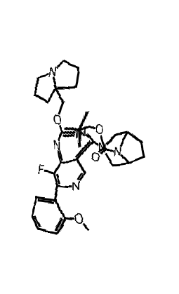 COc1ccccc1-c1ncc2c(N3CC4CCC(C3)N4C(=O)OC(C)(C)C)nc(OCC34CCCN3CCC4)nc2c1F